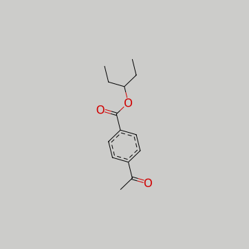 CCC(CC)OC(=O)c1ccc(C(C)=O)cc1